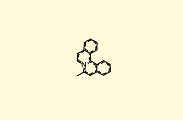 Cc1cc2ccccc2c2c3ccccc3cc[n+]12